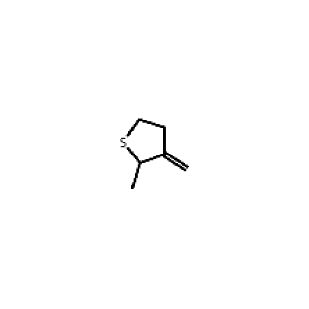 C=C1CCSC1C